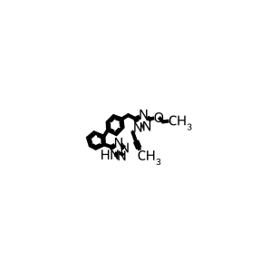 CC#CCn1nc(OCC)nc1Cc1ccc(-c2ccccc2-c2nnn[nH]2)cc1